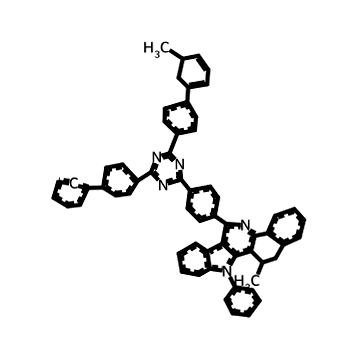 CC1C=CC=C(c2ccc(-c3nc(-c4ccc(-c5ccccc5)cc4)nc(-c4ccc(-c5nc6c(c7c5c5ccccc5n7-c5ccccc5)C(C)Cc5ccccc5-6)cc4)n3)cc2)C1